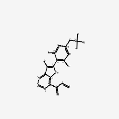 C=CC(=C)c1ncnc2c(C)c(-c3c(C)cc(CC(C)(C)C)cc3C)sc12